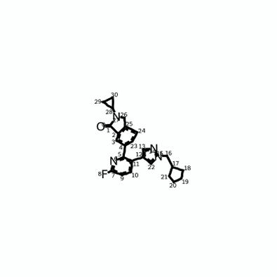 O=C1c2cc(-c3nc(F)ccc3-c3cnn(CC4CCCC4)c3)ccc2CN1C1CC1